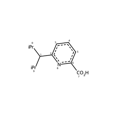 CC(C)C(c1cccc(C(=O)O)n1)C(C)C